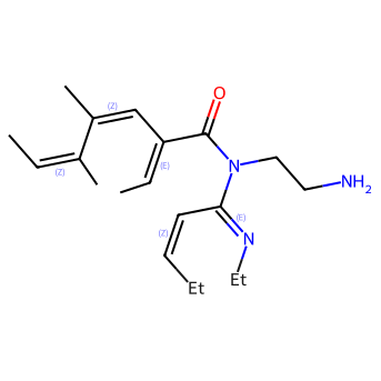 C\C=C(C)/C(C)=C\C(=C/C)C(=O)N(CCN)C(/C=C\CC)=N/CC